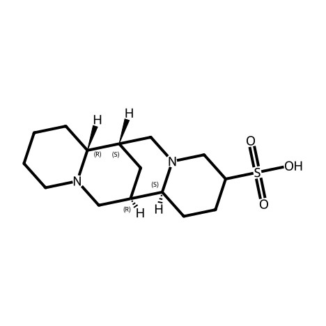 O=S(=O)(O)C1CC[C@H]2[C@@H]3C[C@@H](CN2C1)[C@H]1CCCCN1C3